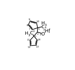 CC1(C([O][Hf])C2(C)C=CC=C2)C=CC=C1